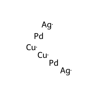 [Ag].[Ag].[Cu].[Cu].[Pd].[Pd]